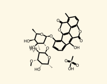 CO[C@@H]1[C@@H](N)[C@@H](O[C@H]2[C@H](Oc3cccc4c(O)c5c(=O)oc6ccc(C)c7c(=O)oc(c34)c5c67)O[C@H](C)[C@H](O)[C@]2(C)O)O[C@H](C)[C@@H]1O.CS(=O)(=O)O